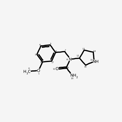 COc1cccc(CN(C(N)=O)C2CCNC2)c1